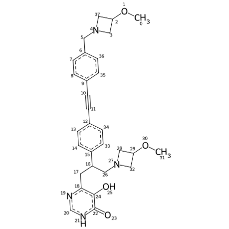 COC1CN(Cc2ccc(C#Cc3ccc(C(Cc4nc[nH]c(=O)c4O)CN4CC(OC)C4)cc3)cc2)C1